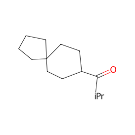 CC(C)C(=O)C1CCC2(CCCC2)CC1